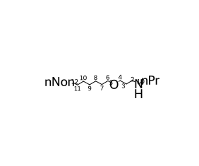 [CH2]CCNCCCOCCCCCCCCCCCCCCC